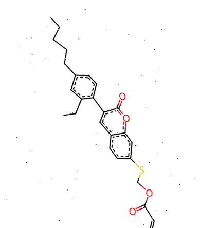 C=CC(=O)OCSc1ccc2cc(-c3ccc(CCCCC)cc3CC)c(=O)oc2c1